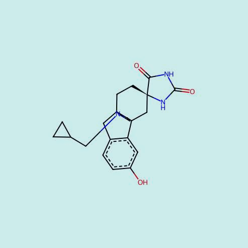 O=C1NC(=O)[C@]2(CCC34Cc5ccc(O)cc5[C@@]3(CCN(CC3CC3)C4)C2)N1